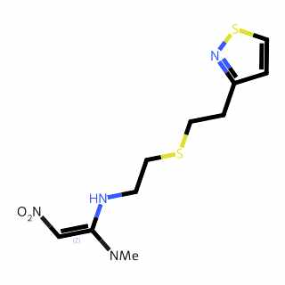 CN/C(=C/[N+](=O)[O-])NCCSCCc1ccsn1